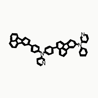 c1ccc(N(c2cccnc2)c2ccc3c(c2)-c2cccc4c(-c5ccc(N(c6ccc(-c7ccc8c(c7)-c7cccc9cccc-8c79)cc6)c6cccnc6)cc5)ccc-3c24)cc1